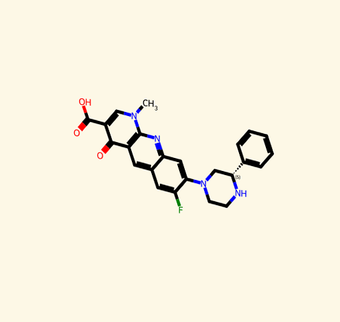 Cn1cc(C(=O)O)c(=O)c2cc3cc(F)c(N4CCN[C@@H](c5ccccc5)C4)cc3nc21